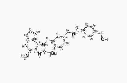 CCCCc1nc2c(N)nc3ccsc3c2n1Cc1cccc(CNCc2ccc(CO)cc2)c1